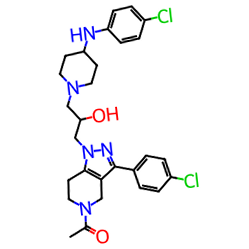 CC(=O)N1CCc2c(c(-c3ccc(Cl)cc3)nn2CC(O)CN2CCC(Nc3ccc(Cl)cc3)CC2)C1